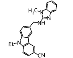 CCn1c2ccc(C#N)cc2c2cc(CNc3nc4ccccc4n3C)ccc21